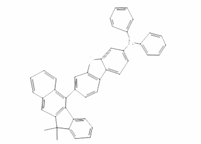 CC1(C)c2ccccc2-c2c1cc1ccccc1c2-c1ccc2c(c1)oc1cc(N(c3ccccc3)c3ccccc3)ccc12